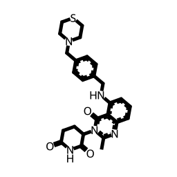 Cc1nc2cccc(NCc3ccc(CN4CCSCC4)cc3)c2c(=O)n1C1CCC(=O)NC1=O